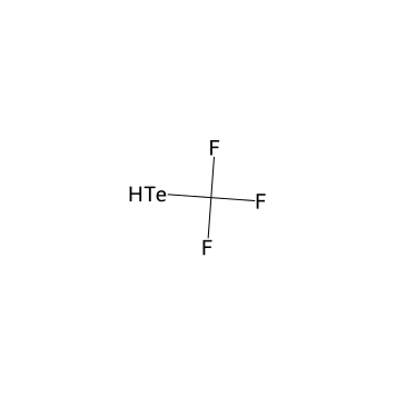 FC(F)(F)[TeH]